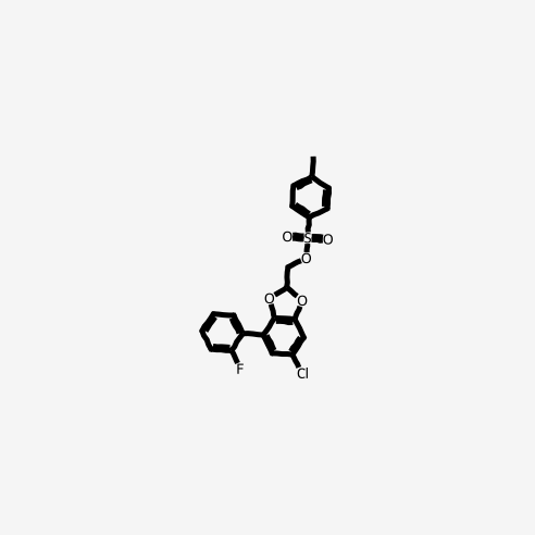 Cc1ccc(S(=O)(=O)OCC2Oc3cc(Cl)cc(-c4ccccc4F)c3O2)cc1